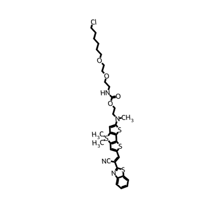 CN(CCOC(=O)NCCOCCOCCCCCCCl)c1cc2c(s1)-c1sc(/C=C(\C#N)c3nc4ccccc4s3)cc1S2(C)C